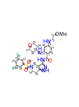 COCCNc1ccc(C(=O)Nc2n[nH]c3c2CN(S(=O)(=O)c2cc(F)cc(F)c2)CC3)c(NC2CCOCC2)c1